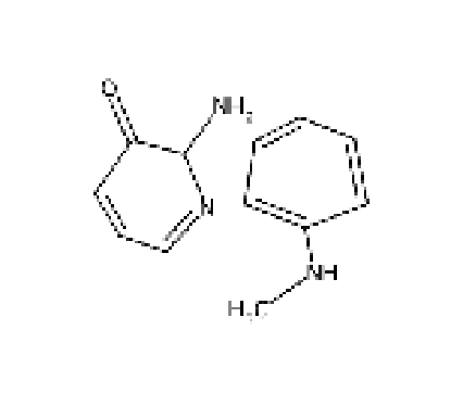 CNc1ccccc1.NC1N=CC=CC1=O